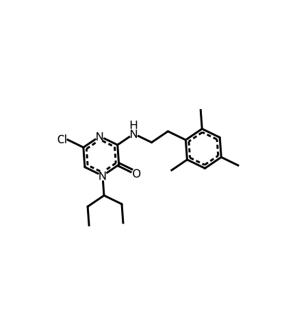 CCC(CC)n1cc(Cl)nc(NCCc2c(C)cc(C)cc2C)c1=O